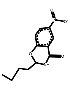 CCCCC1NC(=O)c2cc([N+](=O)[O-])ccc2O1